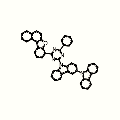 c1ccc(-c2nc(-c3cccc4c3oc3ccc5ccccc5c34)nc(-n3c4ccccc4c4cc(-n5c6ccccc6c6ccccc65)ccc43)n2)cc1